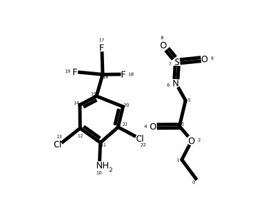 CCOC(=O)CN=S(=O)=O.Nc1c(Cl)cc(C(F)(F)F)cc1Cl